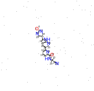 COc1ncc(-c2cc3cc(-c4cccc(C(=O)NC(C)(C)C#N)n4)cnc3[nH]2)cn1